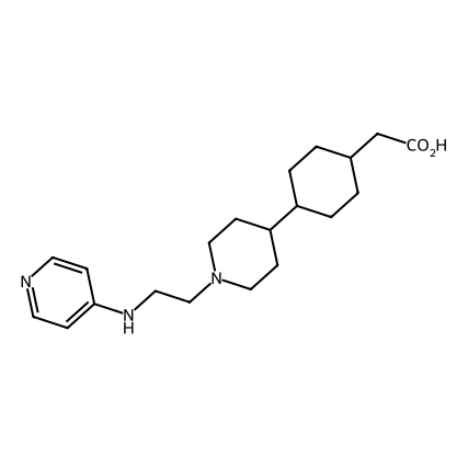 O=C(O)CC1CCC(C2CCN(CCNc3ccncc3)CC2)CC1